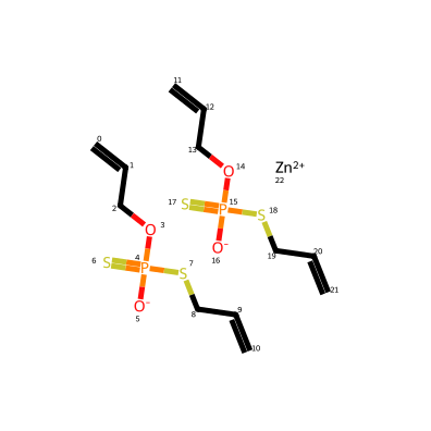 C=CCOP([O-])(=S)SCC=C.C=CCOP([O-])(=S)SCC=C.[Zn+2]